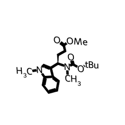 COC(=O)CC[C@H](c1cn(C)c2ccccc12)N(C)C(=O)OC(C)(C)C